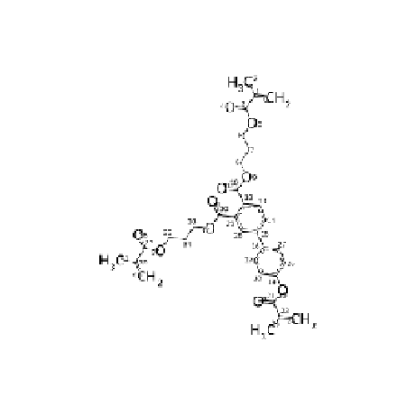 C=C(C)C(=O)OCCCOC(=O)c1ccc(-c2ccc(OC(=O)C(=C)C)cc2)cc1C(=O)OCCCOC(=O)C(=C)C